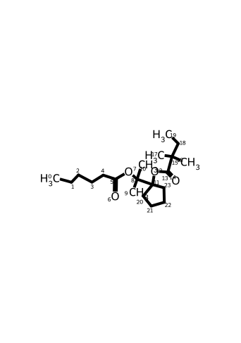 CCCCCC(=O)OC(C)(C)C1(OC(=O)C(C)(C)CC)CCCC1